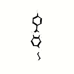 FCCOc1ccc2nc(-c3ccc(F)cc3)sc2c1